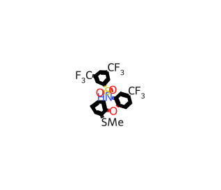 CSc1ccccc1Oc1ccc(C(F)(F)F)cc1NS(=O)(=O)c1cc(C(F)(F)F)cc(C(F)(F)F)c1